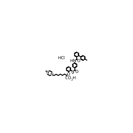 Cc1ccc(-c2ccccc2C(=O)Nc2ccc(C(=O)N(C)c3ccccc3OC(CCCCCCN3CCN(C)CC3)C(=O)O)cc2)cc1.Cl